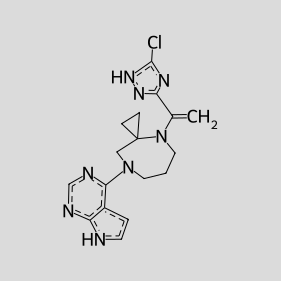 C=C(c1n[nH]c(Cl)n1)N1CCCN(c2ncnc3[nH]ccc23)CC12CC2